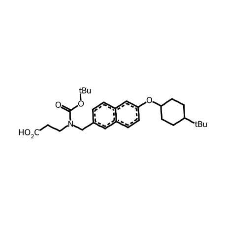 CC(C)(C)OC(=O)N(CCC(=O)O)Cc1ccc2cc(OC3CCC(C(C)(C)C)CC3)ccc2c1